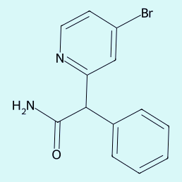 NC(=O)C(c1ccccc1)c1cc(Br)ccn1